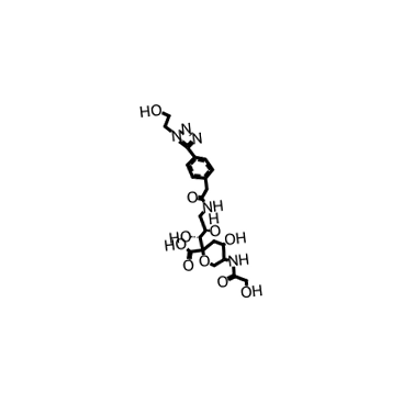 O=C(Cc1ccc(-c2cn(CCO)nn2)cc1)NC[C@@H](O)[C@@H](O)C1(C(=O)O)CC(O)C(NC(=O)CO)CO1